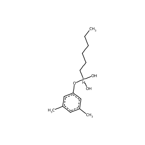 CCCCCC[PH](O)(O)Oc1cc(C)cc(C)c1